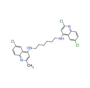 Cc1cc(NCCCCCCNc2cc(Cl)nc3ccc(Cl)cc23)c2cc(Cl)ccc2n1